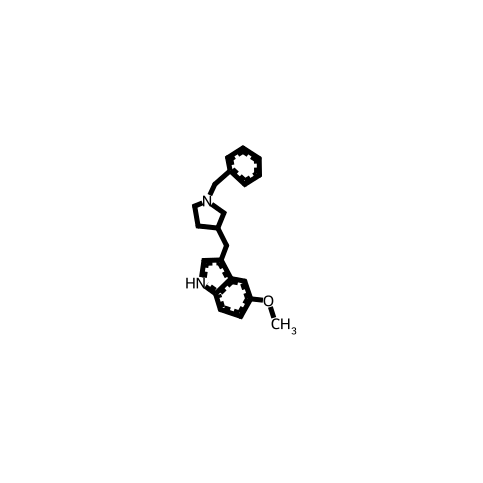 COc1ccc2[nH]cc(CC3CCN(Cc4ccccc4)C3)c2c1